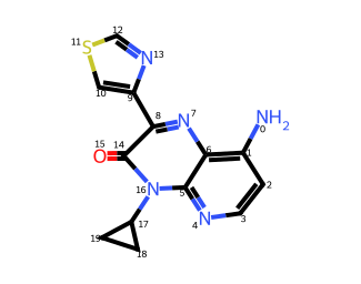 Nc1ccnc2c1nc(-c1cscn1)c(=O)n2C1CC1